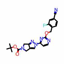 CC(C)(C)OC(=O)N1Cc2cn(-c3ccnc(OCc4ccc(C#N)cc4F)n3)nc2C1